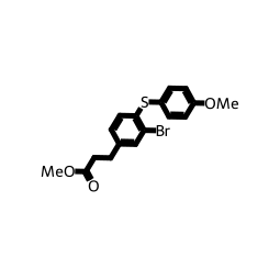 COC(=O)CCc1ccc(Sc2ccc(OC)cc2)c(Br)c1